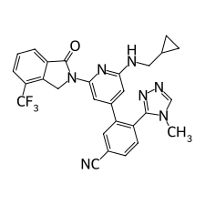 Cn1cnnc1-c1ccc(C#N)cc1-c1cc(NCC2CC2)nc(N2Cc3c(cccc3C(F)(F)F)C2=O)c1